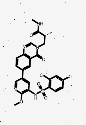 CNC(=O)[C@H](C)Cn1cnc2ccc(-c3cnc(OC)c(NS(=O)(=O)c4ccc(Cl)cc4Cl)c3)cc2c1=O